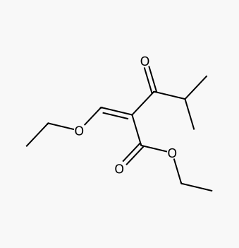 CCOC=C(C(=O)OCC)C(=O)C(C)C